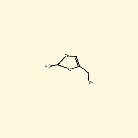 CC(C)CC1=COC(O)O1